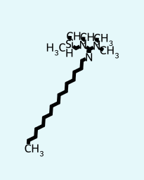 CCCCCCCCCCCCCCCCN=C(N(C)C)N(C)C[SiH](C)C